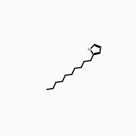 CCCCCCCCCCc1ccc[se]1